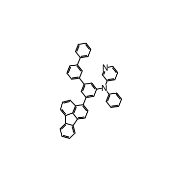 c1ccc(-c2cccc(-c3cc(-c4ccc5c6c(cccc46)-c4ccccc4-5)cc(N(c4ccccc4)c4cccnc4)c3)c2)cc1